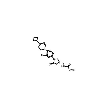 COC(=S)NC[C@H]1CN(c2ccc(N3C=NN(C4CCC4)CC3)c(F)c2)C(=O)O1